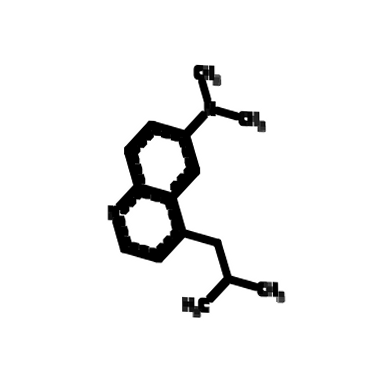 CC(C)Cc1ccnc2ccc(N(C)C)cc12